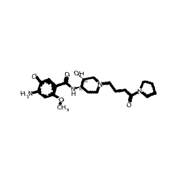 COc1cc(N)c(Cl)cc1C(=O)N[C@@H]1CCN(CCCC(=O)N2CCCC2)C[C@H]1O